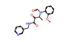 COc1ccccc1N(C=O)C(C)C(=O)C(=O)NCc1cccnc1